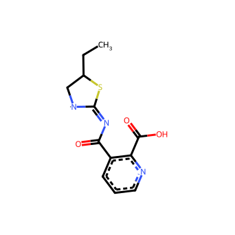 CCC1C[N]C(=NC(=O)c2cccnc2C(=O)O)S1